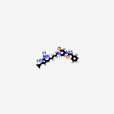 N=C(/C=C1/C=C(C2CC2)NC1=N)CCCCn1ccc(NC(=O)Cc2ccccc2)cc1=O